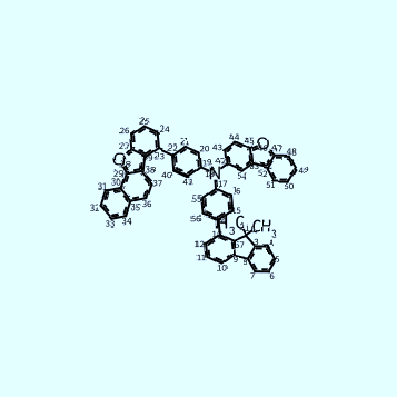 CC1(C)c2ccccc2-c2cccc(-c3ccc(N(c4ccc(-c5cccc6oc7c8ccccc8ccc7c56)cc4)c4ccc5oc6ccccc6c5c4)cc3)c21